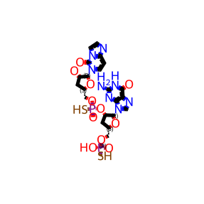 Nc1nc2c(ncn2[C@@H]2O[C@H](CO[P@@](=O)(O)S)CC2OP(=O)(S)OC[C@@H]2CC(=O)[C@H](n3ccc4nccn4c3=O)O2)c(=O)[nH]1